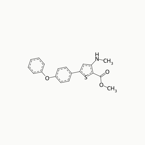 CNc1cc(-c2ccc(Oc3ccccc3)cc2)sc1C(=O)OC